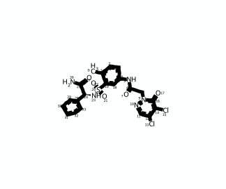 Cc1ccc(NC(=O)Cn2ncc(Cl)c(Cl)c2=O)cc1S(=O)(=O)N[C@@H](C(N)=O)c1ccccc1